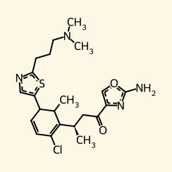 CC1C([C@H](C)CC(=O)c2coc(N)n2)=C(Cl)C=CC1c1cnc(CCCN(C)C)s1